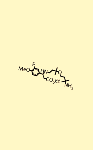 CCOC(=O)C[C@H](NCCC(C)(C)OCCC(C)(C)N)c1ccc(OC)c(F)c1